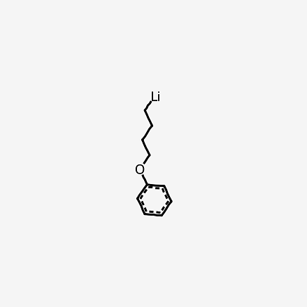 [Li][CH2]CCCOc1ccccc1